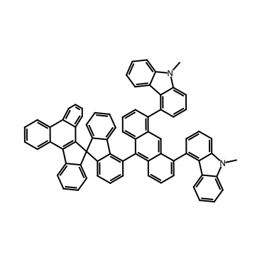 Cn1c2ccccc2c2c(-c3cccc4c(-c5cccc6c5-c5ccccc5C65c6ccccc6-c6c5c5ccccc5c5ccccc65)c5cccc(-c6cccc7c6c6ccccc6n7C)c5cc34)cccc21